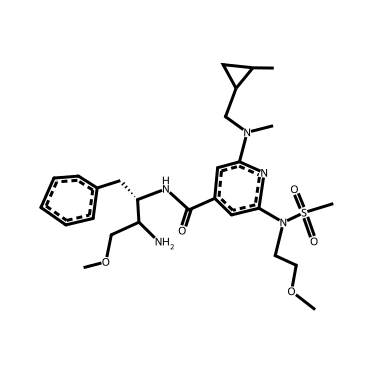 COCCN(c1cc(C(=O)N[C@@H](Cc2ccccc2)C(N)COC)cc(N(C)CC2CC2C)n1)S(C)(=O)=O